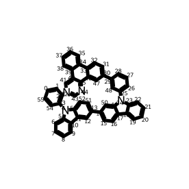 c1ccc(-n2c3ccccc3c3cc(-c4ccc5c6ccccc6n(-c6cccc(-c7ccc8c9ccccc9c9cncnc9c8c7)c6)c5c4)ccc32)cc1